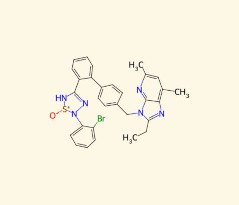 CCc1nc2c(C)cc(C)nc2n1Cc1ccc(-c2ccccc2C2=NN(c3ccccc3Br)[S+]([O-])N2)cc1